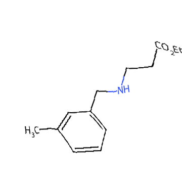 CCOC(=O)CCNCc1cccc(C)c1